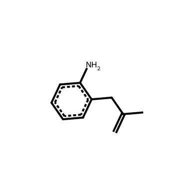 C=C(C)Cc1ccccc1N